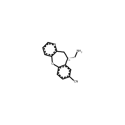 N#Cc1ccc2c(c1)[C@@H](CN)Cc1ncccc1O2